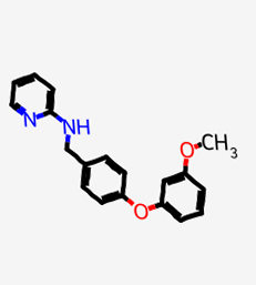 COc1cccc(Oc2ccc(CNc3ccccn3)cc2)c1